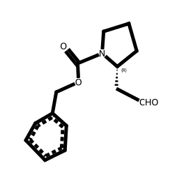 O=CC[C@H]1CCCN1C(=O)OCc1ccccc1